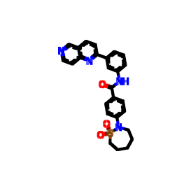 O=C(Nc1cccc(-c2ccc3cnccc3n2)c1)c1ccc(N2CCCCCS2(=O)=O)cc1